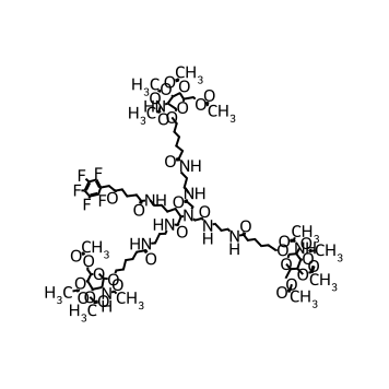 CC(=O)NC1C(OCCCCCC(=O)NCCCNC(=O)CN(CC(=O)NCCCNC(=O)CCCCCOC2OC(COC(C)=O)C(OC(C)=O)C(OC(C)=O)C2NC(C)=O)C(CCCCNC(=O)CCCC(=O)Cc2c(F)c(F)c(F)c(F)c2F)C(=O)NCCCNC(=O)CCCCCOC2OC(COC(C)=O)C(OC(C)=O)C(OC(C)=O)C2NC(C)=O)OC(COC(C)=O)C(OC(C)=O)C1OC(C)=O